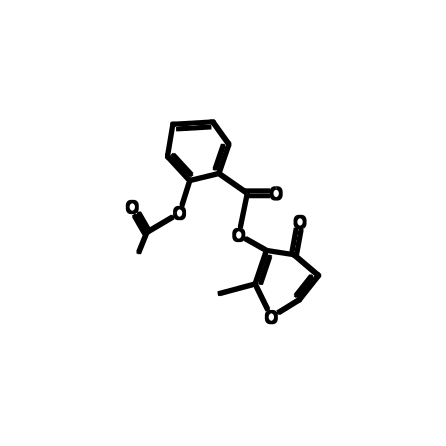 CC(=O)Oc1ccccc1C(=O)Oc1c(C)occc1=O